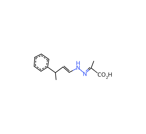 CC(=NNC=CC(C)c1ccccc1)C(=O)O